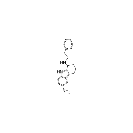 Nc1ccc2[nH]c3c(c2c1)CCCC3NCCc1ccccc1